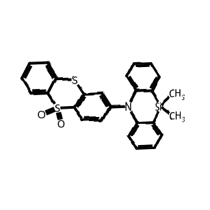 C[Si]1(C)c2ccccc2N(c2ccc3c(c2)Sc2ccccc2S3(=O)=O)c2ccccc21